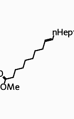 CCCCCCCC=CCCCCCCCC(=O)OC